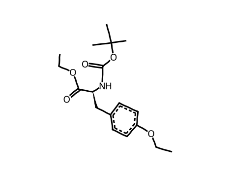 CCOC(=O)[C@H](Cc1ccc(OCC)cc1)NC(=O)OC(C)(C)C